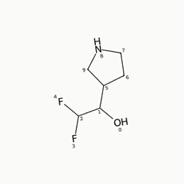 OC(C(F)F)C1CCNC1